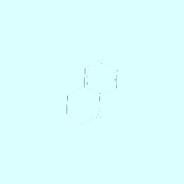 [c]1cccc2c1CCC=N2